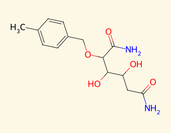 Cc1ccc(COC(C(N)=O)C(O)C(O)CC(N)=O)cc1